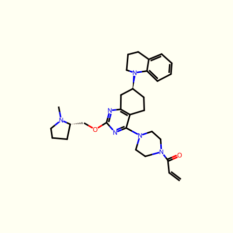 C=CC(=O)N1CCN(c2nc(OC[C@@H]3CCCN3C)nc3c2CC[C@H](N2CCCc4ccccc42)C3)CC1